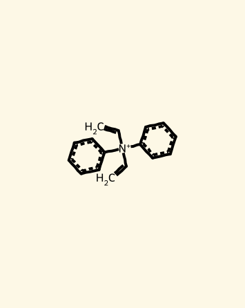 C=C[N+](C=C)(c1ccccc1)c1ccccc1